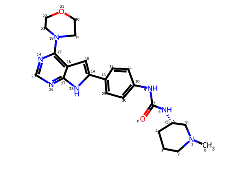 CN1CCC[C@H](NC(=O)Nc2ccc(-c3cc4c(N5CCOCC5)ncnc4[nH]3)cc2)C1